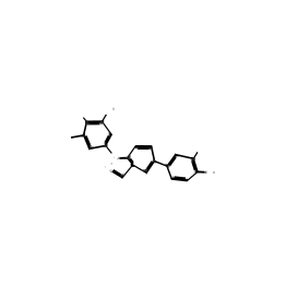 Oc1ccc(-c2ccc3c(cnn3-c3cc(O)c(F)c(F)c3)c2)cc1Cl